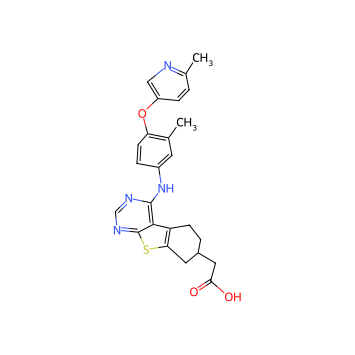 Cc1ccc(Oc2ccc(Nc3ncnc4sc5c(c34)CCC(CC(=O)O)C5)cc2C)cn1